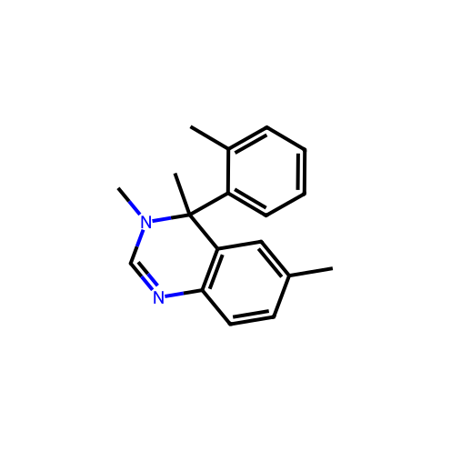 Cc1ccc2c(c1)C(C)(c1ccccc1C)N(C)C=N2